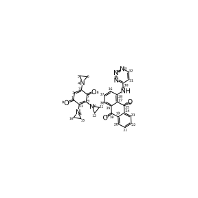 O=C1C=C(N2CC2)C(=O)C(N2CC2)=C1N1CC1.O=C1c2ccccc2C(=O)c2c(Nc3ccnnn3)cccc21